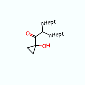 CCCCCCCC(CCCCCCC)C(=O)C1(O)CC1